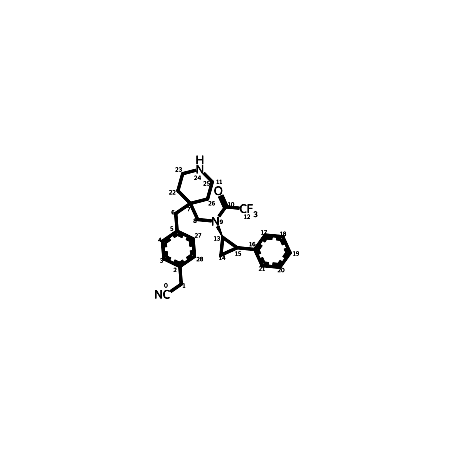 N#CCc1ccc(CC2(CN(C(=O)C(F)(F)F)[C@@H]3CC3c3ccccc3)CCNCC2)cc1